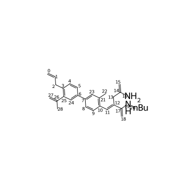 C=CCc1ccc(-c2ccc(/C=C(\CC(=C)N)C(=C)NCCCC)c(C)c2)cc1C(=C)C